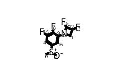 C[S+]([O-])c1cc(F)c(F)c(N2CC(F)C2F)c1